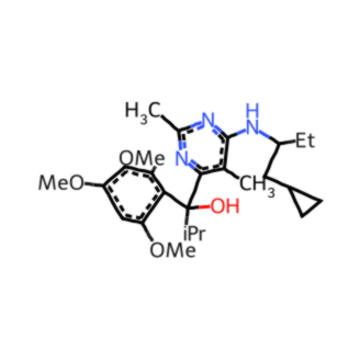 CCC(CC1CC1)Nc1nc(C)nc(C(O)(c2c(OC)cc(OC)cc2OC)C(C)C)c1C